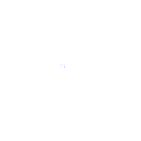 CSc1ccc2cc(C(=O)C(C)C)[nH]c2c1